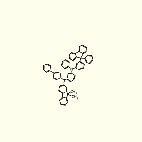 CC1(C)c2ccccc2-c2ccc(N(c3ccc(-c4ccccc4)cc3)c3cccc(N(c4ccccc4)c4cccc(C5(c6ccccc6)c6ccccc6-c6ccccc65)c4)c3)cc21